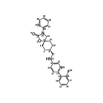 O=C1O[C@]2(CC[C@H](CNc3ccc(-c4ccccc4F)nc3)CC2)CN1c1ccccn1